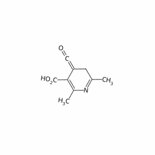 CC1=NC(C)=C(C(=O)O)C(=C=O)C1